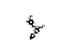 CCOCc1cnc(N2CC3CC3C2)nc1NCc1ccc(OCC)c(C)c1